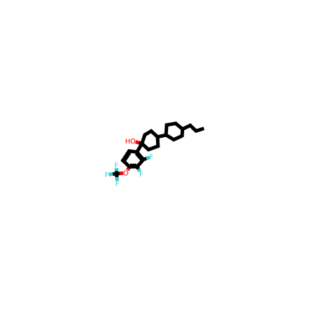 CCCC1CCC(C2CCC(O)(c3ccc(OC(F)(F)F)c(F)c3F)CC2)CC1